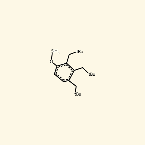 CC(C)(C)Cc1ccc(O[SiH3])c(CC(C)(C)C)c1CC(C)(C)C